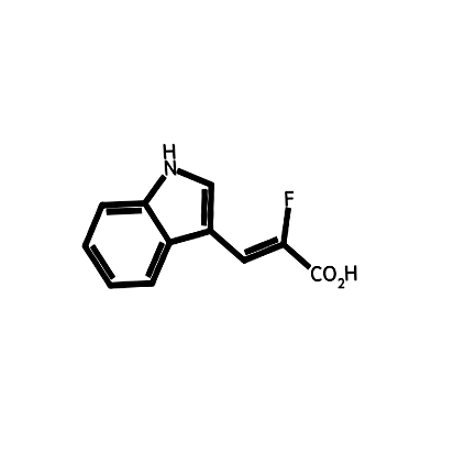 O=C(O)C(F)=Cc1c[nH]c2ccccc12